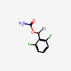 CC[C](OC(N)=O)c1c(F)cccc1F